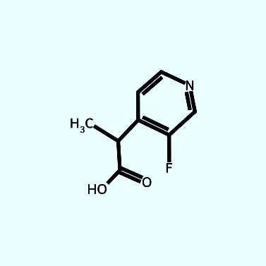 CC(C(=O)O)c1ccncc1F